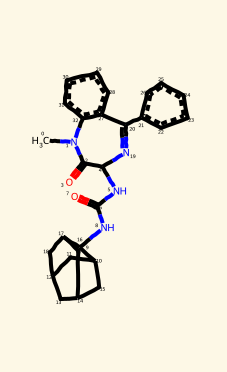 CN1C(=O)C(NC(=O)NC2C3CC4CC(C3)CC2C4)N=C(c2ccccc2)c2ccccc21